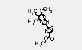 CCOC(=O)c1csc(-c2cn3c(C)c(CC)c(OC)nc3n2)n1